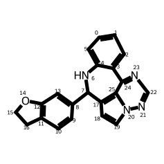 c1ccc2c(c1)NC(c1ccc3c(c1)OCC3)c1ccn3ncnc-2c13